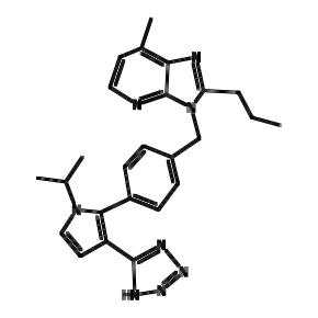 CCCc1nc2c(C)ccnc2n1Cc1ccc(-c2c(-c3nnn[nH]3)ccn2C(C)C)cc1